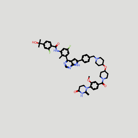 C=C1NC(=O)CCN1c1ccc(C(=O)N2CCC(OC3CCN(Cc4ccc(-c5cc6c(-c7cc(F)cc(NC(=O)c8ccc(C(C)(C)O)cc8F)c7C)ncnc6[nH]5)cc4)CC3)CC2)cc1OC